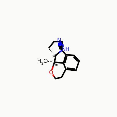 C[C@@]1([C@@H]2CCCN2)OCCc2cccc(C#N)c21